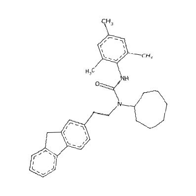 Cc1cc(C)c(NC(=O)N(CCc2ccc3c(c2)Cc2ccccc2-3)C2CCCCCC2)c(C)c1